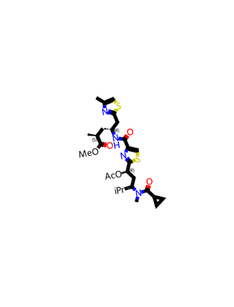 COC(=O)[C@@H](C)C[C@H](Cc1nc(C)cs1)NC(=O)c1csc([C@@H](CC(C(C)C)N(C)C(=O)C2CC2)OC(C)=O)n1